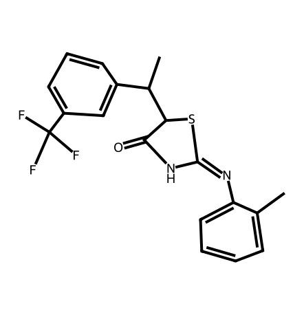 Cc1ccccc1N=C1NC(=O)C(C(C)c2cccc(C(F)(F)F)c2)S1